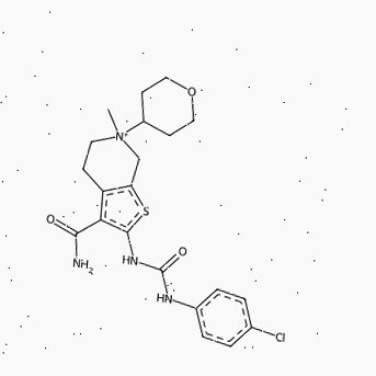 C[N+]1(C2CCOCC2)CCc2c(sc(NC(=O)Nc3ccc(Cl)cc3)c2C(N)=O)C1